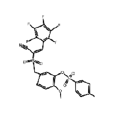 COc1ccc(CS(=O)(=O)C(C#N)=Cc2c(F)c(F)c(F)c(F)c2F)cc1OS(=O)(=O)c1ccc(C)cc1